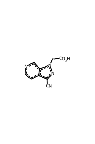 N#Cc1nn(CC(=O)O)c2cnccc12